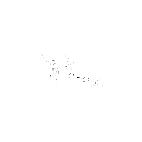 CCC(=N)OC(=N)c1cc(F)c(CN(C[C@H](O)[C@H](Cc2ccc(C#Cc3ccc(N4C[C@H]5C[C@@H]4CN5C4COC4)nc3)cc2)NC(=O)[C@@H](NC(=O)OC)C(C)(C)C(F)(F)F)NC(=O)[C@@H](NC(=O)OC)C(C)(C)C(F)(F)F)c(F)c1